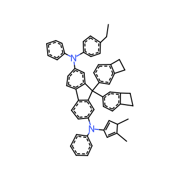 CCc1ccc(N(c2ccccc2)c2ccc3c(c2)C(c2ccc4c(c2)CC4)(c2ccc4c(c2)CC4)c2cc(N(C4=CC(C)C(C)=C4)c4ccccc4)ccc2-3)cc1